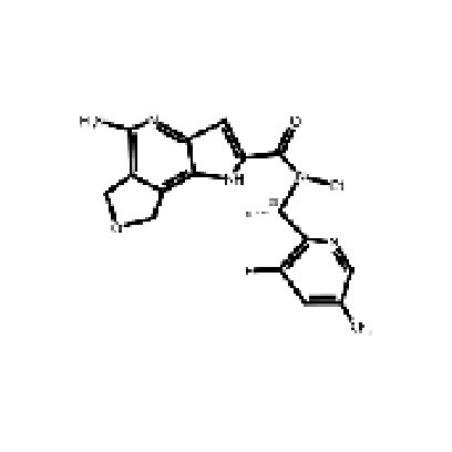 CCN(C(=O)c1cc2nc(N)c3c(c2[nH]1)COC3)[C@@H](C)c1ncc(C(F)(F)F)cc1F